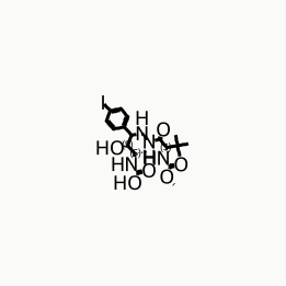 COC(=O)N[C@H](C(=O)NNC(c1ccc(I)cc1)[C@@H](O)[C@H](C)NC(=O)O)C(C)(C)C